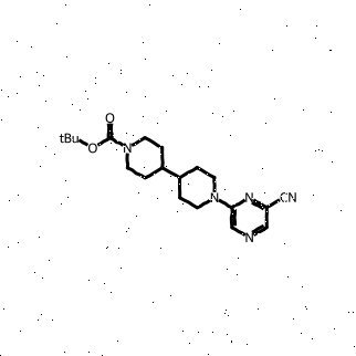 CC(C)(C)OC(=O)N1CCC(C2CCN(c3cncc(C#N)n3)CC2)CC1